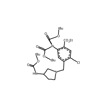 CCOC(=O)c1cc(Cl)c(CN2CCC(NC(=O)OC(C)(C)C)C2)cc1N(C(=O)OC(C)(C)C)C(=O)OC(C)(C)C